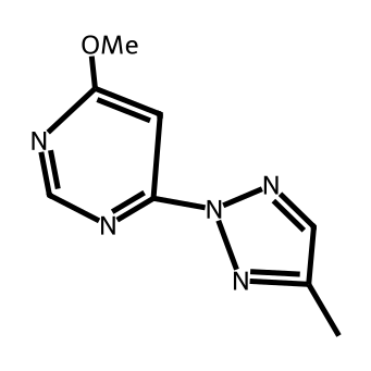 COc1cc(-n2ncc(C)n2)ncn1